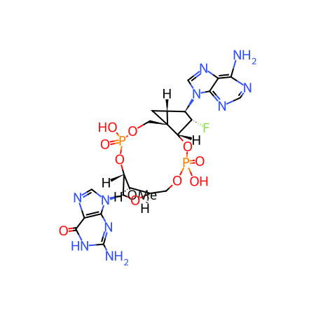 CO[C@H]1[C@H]2OP(=O)(O)OC[C@@]34C[C@@H]3[C@@H](n3cnc5c(N)ncnc53)[C@H](F)[C@@H]4OP(=O)(O)OC[C@H]1O[C@H]2n1cnc2c(=O)[nH]c(N)nc21